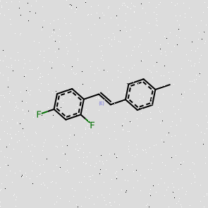 Cc1ccc(/C=C/c2ccc(F)cc2F)cc1